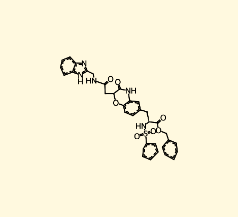 O=C(CC1Oc2ccc(C[C@H](NS(=O)(=O)c3ccccc3)C(=O)OCc3ccccc3)cc2NC1=O)NCc1nc2ccccc2[nH]1